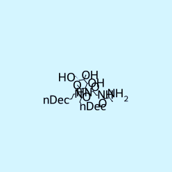 CCCCCCCCCCCCN(C(=O)CCCCCCCCCCC)[C@@H]1O[C@H](CO)[C@@H](O)[C@H](O)[C@H]1NC(=O)CNC(=O)[C@H](C)N